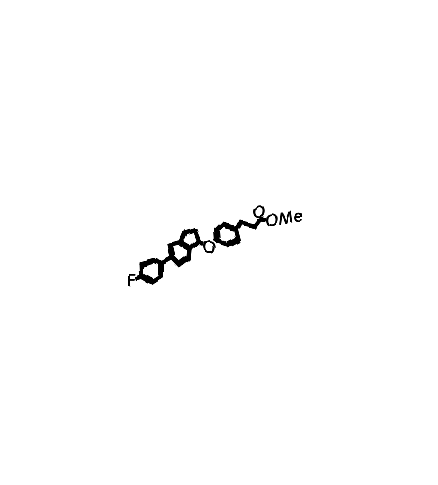 COC(=O)CCc1ccc(OC2CCc3cc(-c4ccc(F)cc4)ccc32)cc1